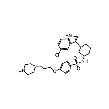 CN1CCN(CCCOc2ccc(S(=O)(=O)NC3CCCC(c4c[nH]c5ccc(Cl)cc45)C3)cc2)CC1